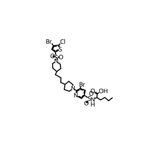 CCCCC(NS(=O)(=O)c1cnc(N2CCC(CCCC3CCN(S(=O)(=O)c4cc(Br)c(Cl)s4)CC3)CC2)c(Br)c1)C(=O)O